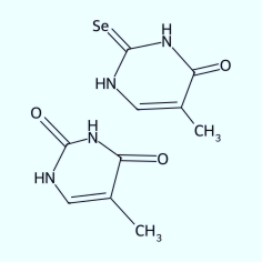 Cc1c[nH]c(=O)[nH]c1=O.Cc1c[nH]c(=[Se])[nH]c1=O